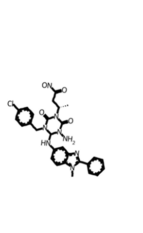 C[C@@H](CC(=O)N=O)N1C(=O)N(N)C(Nc2ccc3c(c2)nc(-c2ccccc2)n3C)N(Cc2ccc(Cl)cc2)C1=O